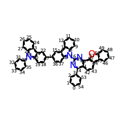 c1ccc(-c2nc(-n3c4ccccc4c4cc(-c5ccc6c(c5)c5ccccc5n6-c5ccccc5)ccc43)nc3c2ccc2c4ccccc4oc23)cc1